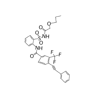 CCCOCC(=O)NS(=O)(=O)c1ccccc1NC(=O)c1ccc(C#Cc2ccccc2)c(C(F)(F)F)c1